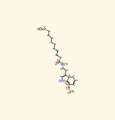 CCCCCCCCCCCCCCCCCCCC(=O)NCCC1=CNC2=C(OC(C)C)C=CCC12